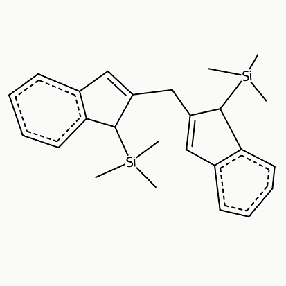 C[Si](C)(C)C1C(CC2=Cc3ccccc3C2[Si](C)(C)C)=Cc2ccccc21